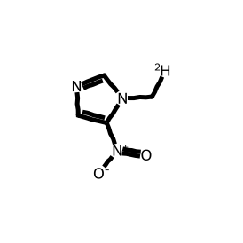 [2H]Cn1cncc1[N+](=O)[O-]